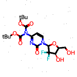 CC(C)(C)OC(=O)N(C(=O)OC(C)(C)C)c1ccn(C2OC(CO)[C@@H](O)C2(F)F)c(=O)n1